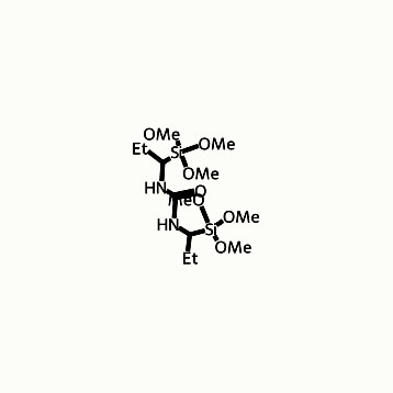 CCC(NC(=O)NC(CC)[Si](OC)(OC)OC)[Si](OC)(OC)OC